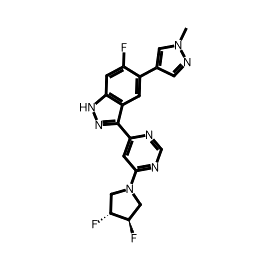 Cn1cc(-c2cc3c(-c4cc(N5C[C@@H](F)[C@H](F)C5)ncn4)n[nH]c3cc2F)cn1